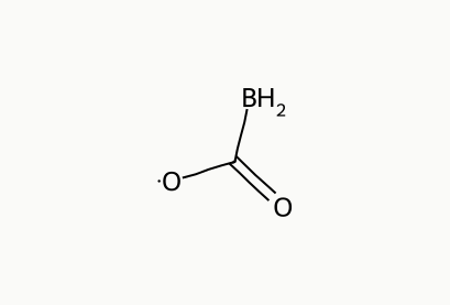 BC([O])=O